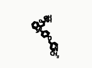 Cc1cc(COc2ccc(N3Sc4ccccc4C3CC(=O)NO)cc2)ccn1